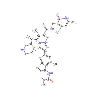 Cc1cc(C)c(CNC(=O)c2cc3cc(-c4cc(C#N)c5c(c4)CCN5NC(=O)OC(C)(C)C)cn3c(C(C)C3CNCCO3)c2C)c(=O)[nH]1